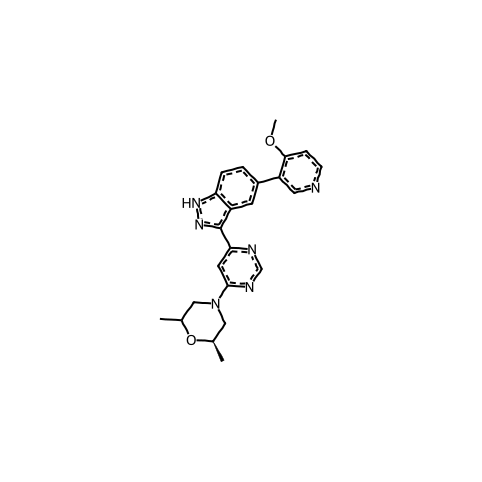 COc1ccncc1-c1ccc2[nH]nc(-c3cc(N4CC(C)O[C@H](C)C4)ncn3)c2c1